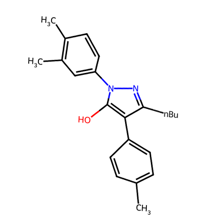 CCCCc1nn(-c2ccc(C)c(C)c2)c(O)c1-c1ccc(C)cc1